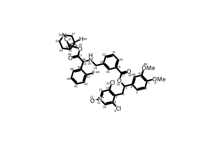 COc1ccc(C(Cc2c(Cl)c[n+]([O-])cc2Cl)OC(=O)c2cccc(CN[C@H](C(=O)O[C@H]3CN4CCC3CC4)c3ccccc3F)c2)cc1OC